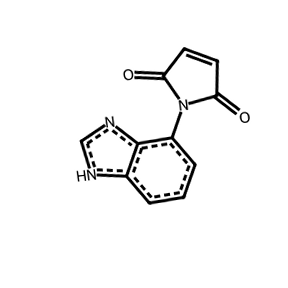 O=C1C=CC(=O)N1c1cccc2[nH]cnc12